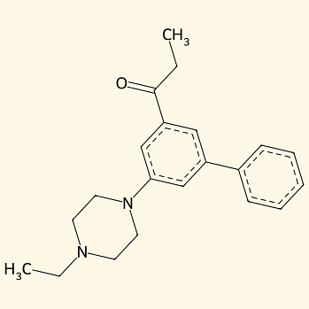 CCC(=O)c1cc(-c2ccccc2)cc(N2CCN(CC)CC2)c1